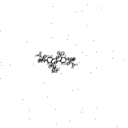 O=S(=O)([O-])c1cc(NS(=O)(=O)C2CC2)ccc1CCc1ccc(NS(=O)(=O)C2CC2)cc1S(=O)(=O)[O-].[Na+].[Na+]